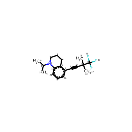 CC(C)N1CCCc2c(C#CC(C)(C)C(F)(F)F)cccc21